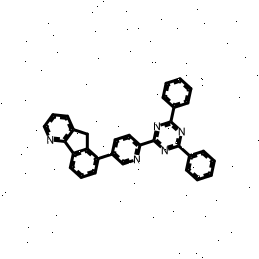 c1ccc(-c2nc(-c3ccccc3)nc(-c3ccc(-c4cccc5c4Cc4cccnc4-5)cn3)n2)cc1